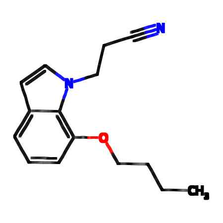 CCCCOc1cccc2ccn(CCC#N)c12